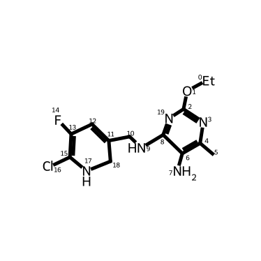 CCOc1nc(C)c(N)c(NCC2=CC(F)=C(Cl)NC2)n1